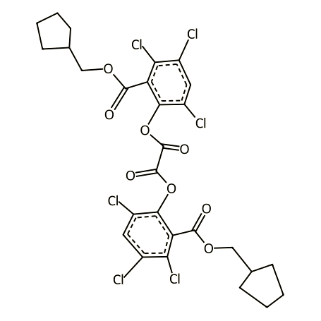 O=C(Oc1c(Cl)cc(Cl)c(Cl)c1C(=O)OCC1CCCC1)C(=O)Oc1c(Cl)cc(Cl)c(Cl)c1C(=O)OCC1CCCC1